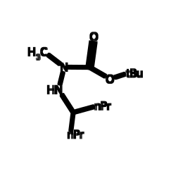 CCCC(CCC)NN(C)C(=O)OC(C)(C)C